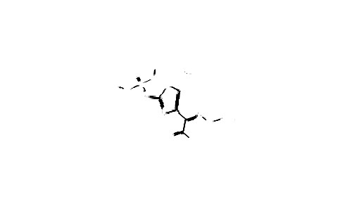 CON=C(C(=O)[O-])c1csc(NP(=O)(OC)OC)n1.[Na+]